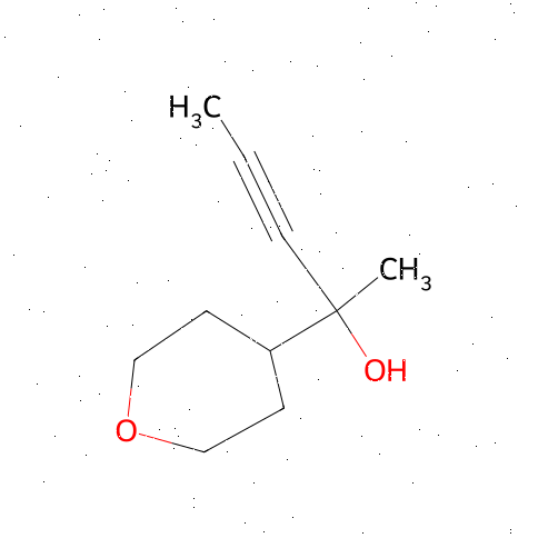 CC#CC(C)(O)C1CCOCC1